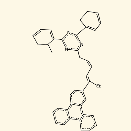 CC/C(=C\C=C/Cc1nc(C2=CC=CCC2)nc(C2=CC=CCC2C)n1)c1ccc2c3ccccc3c3ccccc3c2c1